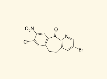 O=C1c2cc([N+](=O)[O-])c(Cl)cc2CCc2cc(Br)cnc21